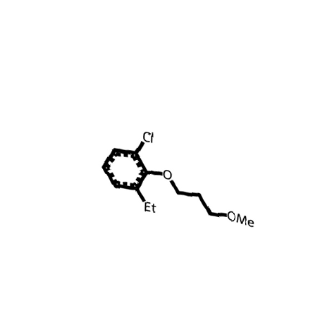 CCc1cccc(Cl)c1OCCCOC